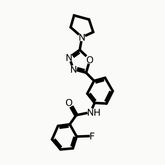 O=C(Nc1cccc(-c2nnc(N3CCCC3)o2)c1)c1ccccc1F